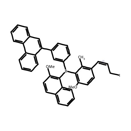 COc1ccc(/C=C\CI)c(C)c1B(c1cccc(-c2cc3ccccc3c3ccccc23)c1)c1c(OC)ccc2ccccc12